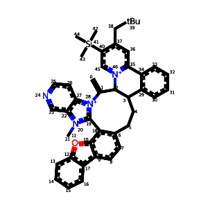 C=C1C2C(CCc3ccc4c(oc5ccccc54)c3-c3n(C)c4cnccc4[n+]31)c1ccccc1-c1cc(CC(C)(C)C)c([Si](C)(C)C)c[n+]12